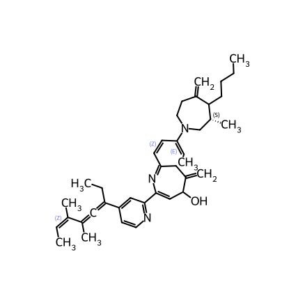 C=C1CC(/C=C\C(=C/C)N2CCC(=C)C(CCCC)[C@H](C)C2)=NC(c2cc(C(=C=C(C)/C(C)=C\C)CC)ccn2)=CC1O